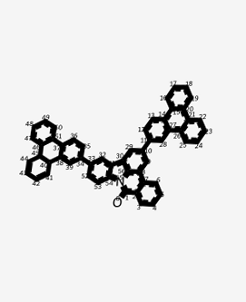 O=c1c2ccccc2c2cc(-c3ccc4c5ccccc5c5ccccc5c4c3)cc3c4cc(-c5ccc6c(c5)C5C=CC=CC5c5ccccc5-6)ccc4n1c23